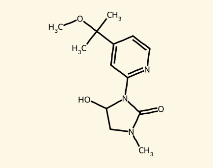 COC(C)(C)c1ccnc(N2C(=O)N(C)CC2O)c1